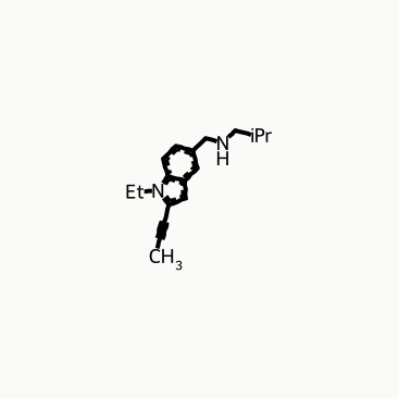 CC#Cc1cc2cc(CNCC(C)C)ccc2n1CC